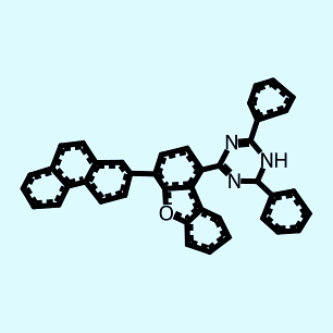 c1ccc(C2=NC(c3ccc(-c4ccc5c(ccc6ccccc65)c4)c4oc5ccccc5c34)=NC(c3ccccc3)N2)cc1